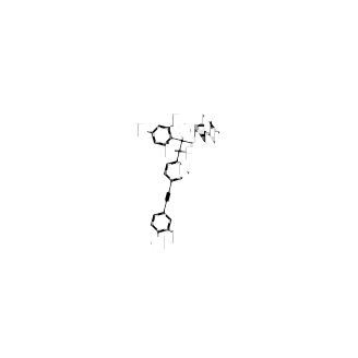 OC(Cn1cnnn1)(c1ccc(F)cc1F)C(F)(F)c1ccc(C#Cc2ccc(Cl)c(F)c2)cn1